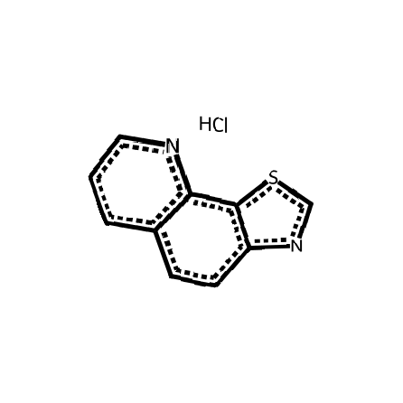 Cl.c1cnc2c(c1)ccc1ncsc12